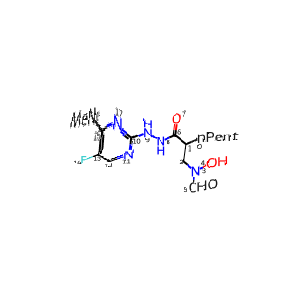 CCCCCC(CN(O)C=O)C(=O)NNc1ncc(F)c(NC)n1